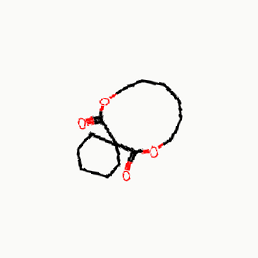 O=C1OCCCCCCOC(=O)C12CCCCC2